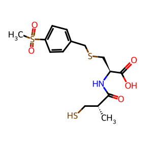 C[C@H](CS)C(=O)N[C@@H](CSCc1ccc(S(C)(=O)=O)cc1)C(=O)O